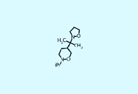 CC(C)N1CCC(C(C)(C)N2CCCO2)CO1